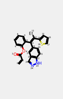 C=CC(=O)Oc1ccccc1/C(=C(\CC)c1cccs1)c1ccc2[nH]ncc2c1